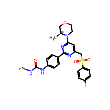 CCCNC(=O)Nc1ccc(-c2nc(CS(=O)(=O)c3ccc(F)cc3)cc(N3CCOC[C@@H]3C)n2)cc1